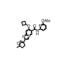 COc1cccc(NC(=O)c2cn3cc(C45CCC(C)(C4)OC5)nc3cc2OC2CCC2)n1